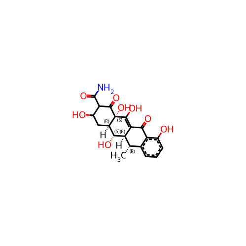 C[C@H]1c2cccc(O)c2C(=O)C2=C(O)[C@]3(O)C(=O)C(C(N)=O)C(O)C[C@@H]3[C@@H](O)[C@@H]21